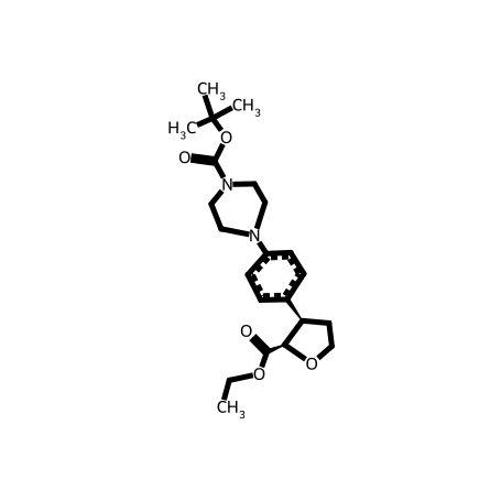 CCOC(=O)[C@@H]1OCC[C@@H]1c1ccc(N2CCN(C(=O)OC(C)(C)C)CC2)cc1